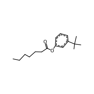 CCCCCCC(=O)Oc1cccc(C(C)(C)C)c1